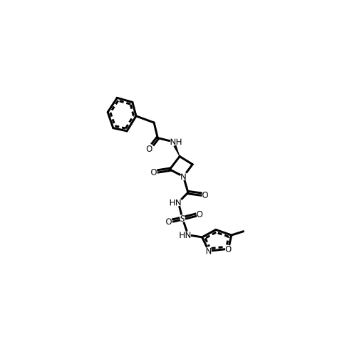 Cc1cc(NS(=O)(=O)NC(=O)N2C[C@H](NC(=O)Cc3ccccc3)C2=O)no1